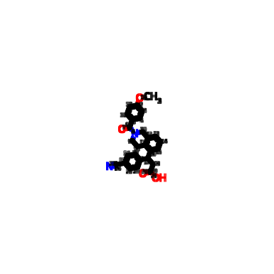 COc1ccc(C(=O)N2CCc3c(cccc3C(CC(=O)O)c3ccc(C#N)cc3)C2)cc1